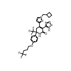 O=C1NC(c2ccc(OCCCC(F)(F)F)cc2)(C(F)(F)F)CC(c2ccn(CC3CCC3)n2)=C1c1nnn[nH]1